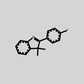 CC1(C)C(c2ccc(F)cc2)=Nc2ccccc21